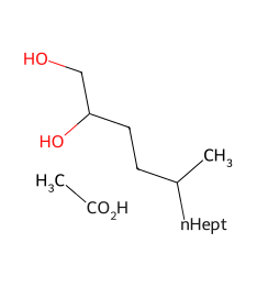 CC(=O)O.CCCCCCCC(C)CCC(O)CO